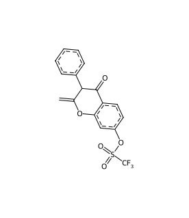 C=C1Oc2cc(OS(=O)(=O)C(F)(F)F)ccc2C(=O)C1c1ccccc1